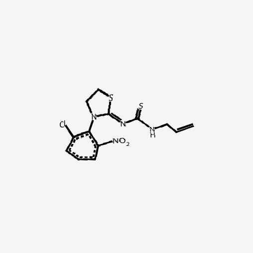 C=CCNC(=S)N=C1SCCN1c1c(Cl)cccc1[N+](=O)[O-]